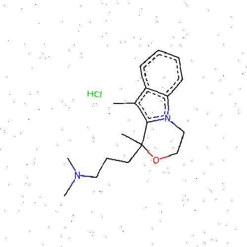 Cc1c2n(c3ccccc13)CCOC2(C)CCCN(C)C.Cl